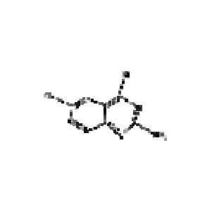 Nc1nc(Br)c2cc(Cl)ccc2n1